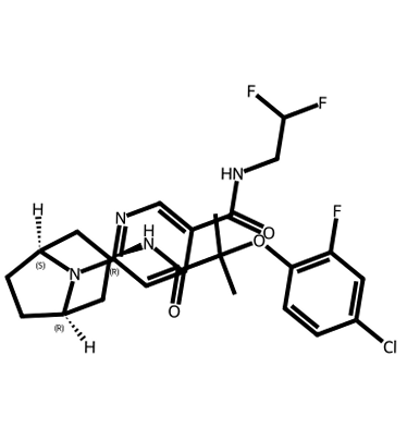 CC(C)(Oc1ccc(Cl)cc1F)C(=O)N[C@H]1C[C@H]2CC[C@@H](C1)N2c1ccc(C(=O)NCC(F)F)cn1